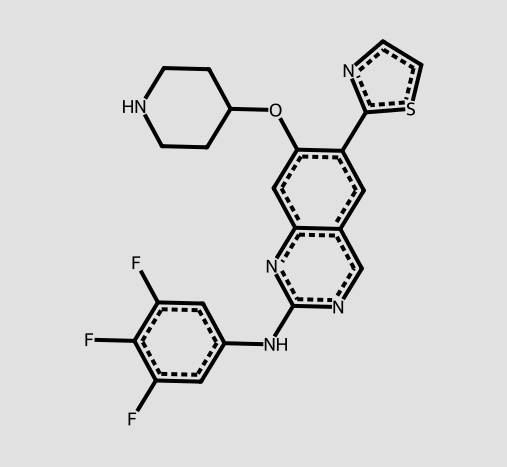 Fc1cc(Nc2ncc3cc(-c4nccs4)c(OC4CCNCC4)cc3n2)cc(F)c1F